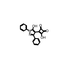 O=c1c(O)c(-c2c(-c3ccccc3)nn(-c3ccccc3)c2O)c1=O